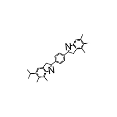 Cc1cc2c(c(C)c1C)CC(c1ccc(C3=Nc4c(cc(C(C)C)c(C)c4C)C3)cc1)=N2